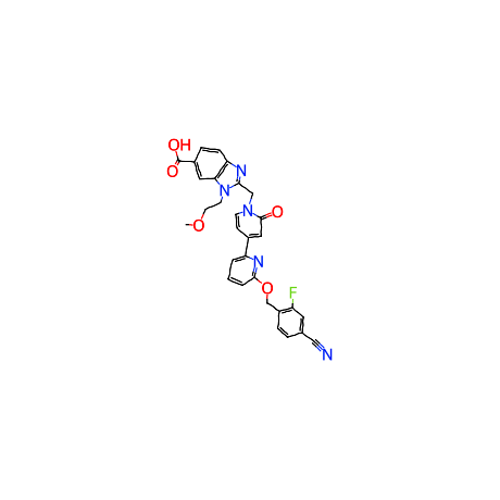 COCCn1c(Cn2ccc(-c3cccc(OCc4ccc(C#N)cc4F)n3)cc2=O)nc2ccc(C(=O)O)cc21